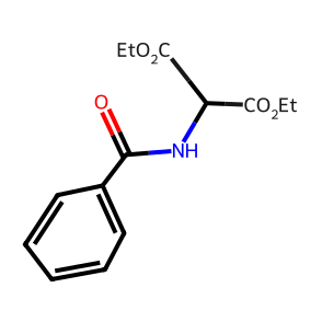 CCOC(=O)C(NC(=O)c1ccccc1)C(=O)OCC